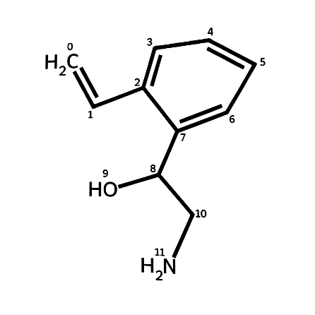 C=Cc1ccccc1C(O)CN